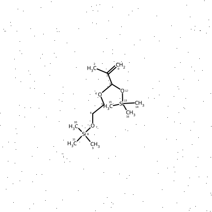 C=C(C)C(OCCO[Si](C)(C)C)O[Si](C)(C)C